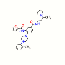 Cc1ccccc1N1CCN(c2ccc(C(=O)NCCC(C)N3CCCC3)cc2NC(=O)c2ccco2)CC1